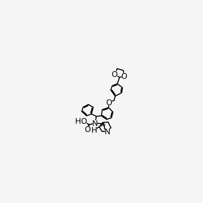 O=C(O)N(C(c1ccccc1)c1cccc(OCc2ccc(C3OCCO3)cc2)c1)[C@H]1CN2CCC1CC2